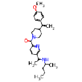 C=C(NC(C)CCC)c1ccc(C(=O)N2CCC(C(=C)c3ccc(OC)cc3)CC2)nc1